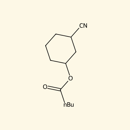 CCCCC(=O)OC1CCCC(C#N)C1